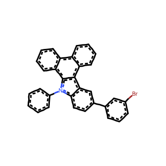 Brc1cccc(-c2ccc3c(c2)c2c4ccccc4c4ccccc4c2n3-c2ccccc2)c1